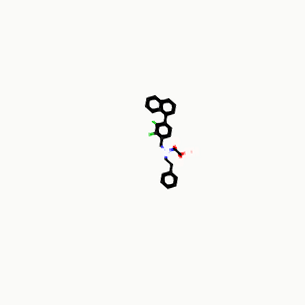 O=C(O)C(=O)N(CCc1ccccc1)Cc1ccc(-c2cccc3ccccc23)c(Cl)c1Cl